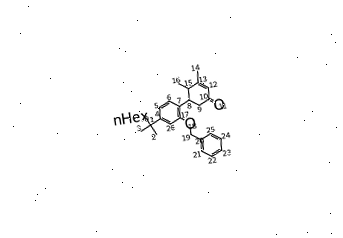 CCCCCCC(C)(C)c1ccc(C2CC(=O)C=C(C)C2C)c(OCc2ccccc2)c1